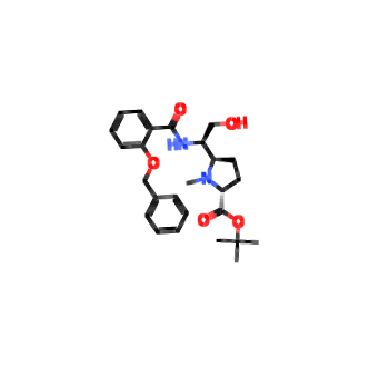 CN1[C@@H](C(=O)OC(C)(C)C)CC[C@@H]1[C@H](CO)NC(=O)c1ccccc1OCc1ccccc1